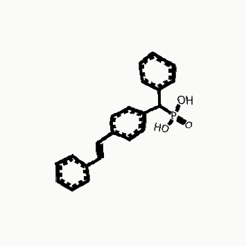 O=P(O)(O)C(c1ccccc1)c1ccc(/C=C/c2ccccc2)cc1